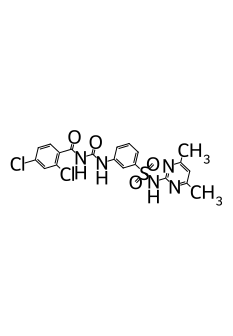 Cc1cc(C)nc(NS(=O)(=O)c2cccc(NC(=O)NC(=O)c3ccc(Cl)cc3Cl)c2)n1